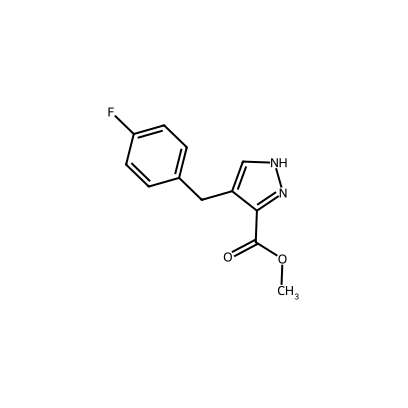 COC(=O)c1n[nH]cc1Cc1ccc(F)cc1